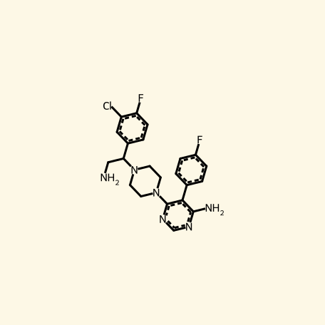 NCC(c1ccc(F)c(Cl)c1)N1CCN(c2ncnc(N)c2-c2ccc(F)cc2)CC1